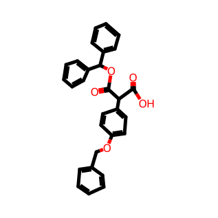 O=C(O)C(C(=O)OC(c1ccccc1)c1ccccc1)c1ccc(OCc2ccccc2)cc1